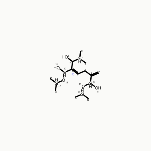 C=C(C/C=C(\C(O)[SiH](C)C)[SiH](O)O[SiH](C)C)[SiH](O)O[SiH](C)C